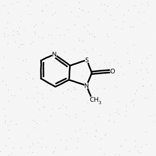 Cn1c(=O)sc2ncccc21